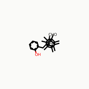 C[C]12[C]3(C)[C]4(C)[C]5(C=O)[C]1(C)[Fe]23451678[C]2(C)[C]1(C)[C]6(C)[C]7(Cc1ccccc1O)[C]28C